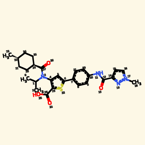 CC(C)N(c1cc(-c2ccc(NC(=O)c3ccn(C)n3)cc2)sc1C(=O)O)C(=O)[C@H]1CC[C@H](C)CC1